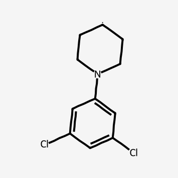 Clc1cc(Cl)cc(N2CC[CH]CC2)c1